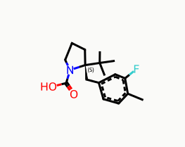 Cc1ccc(C[C@]2(C(C)(C)C)CCCN2C(=O)O)cc1F